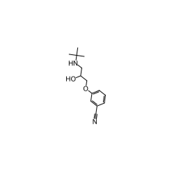 CC(C)(C)NCC(O)COc1cccc(C#N)c1